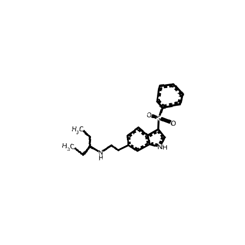 CCC(CC)NCCc1ccc2c(S(=O)(=O)c3ccccc3)c[nH]c2c1